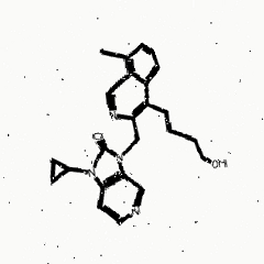 Cc1cccc2c(CCCCO)c(Cn3c(=O)n(C4CC4)c4ccncc43)ncc12